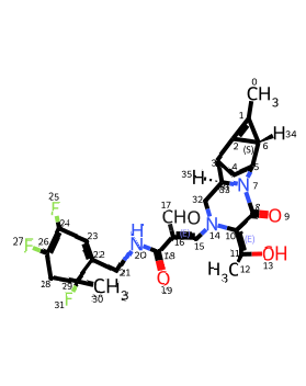 CC1=C2C3CC([C@@H]12)N1C(=O)/C(=C(/C)O)N(/C=C(\C=O)C(=O)NCC2=CC(F)=C(F)CC2(C)F)C[C@@H]31